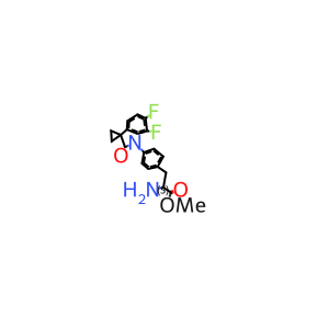 COC(=O)[C@@H](N)Cc1ccc(N2C(=O)C3(CC3)c3ccc(F)c(F)c32)cc1